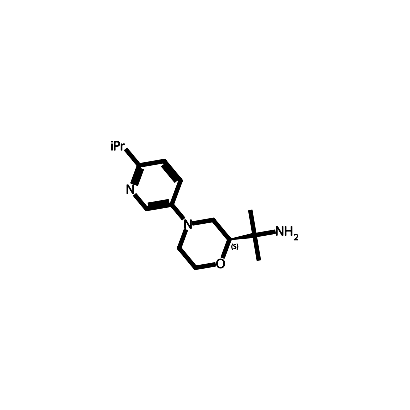 CC(C)c1ccc(N2CCO[C@H](C(C)(C)N)C2)cn1